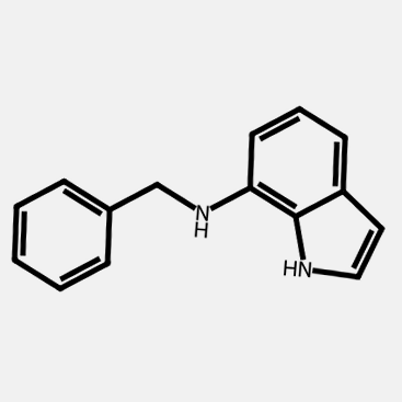 c1ccc(CNc2cccc3cc[nH]c23)cc1